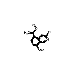 C=C(OCC)c1cnc(SC)c2cnc(Cl)cc12